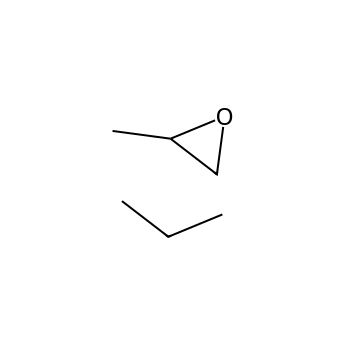 CC1CO1.CCC